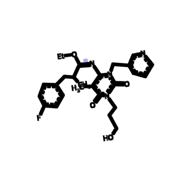 CCO/C(=N/c1c(C)c(=O)n(CCCO)c(=O)n1Cc1cccnc1)C(C)Cc1ccc(F)cc1